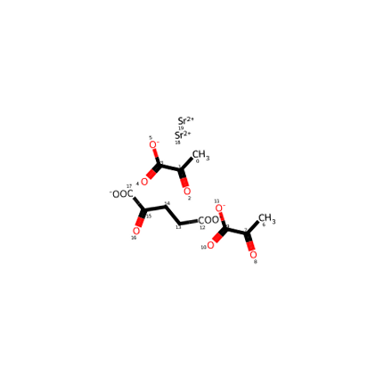 CC(=O)C(=O)[O-].CC(=O)C(=O)[O-].O=C([O-])CCC(=O)C(=O)[O-].[Sr+2].[Sr+2]